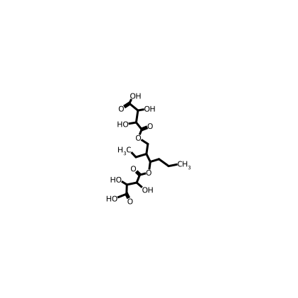 CCCC(OC(=O)C(O)C(O)C(=O)O)C(CC)COC(=O)C(O)C(O)C(=O)O